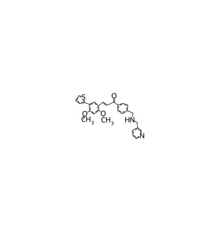 COc1cc(OC)c(-c2cccs2)cc1/C=C/C(=O)c1ccc(CNCc2cccnc2)cc1